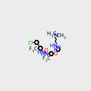 CN(C)CCCCNc1nccc(Oc2ccc(NC(=O)Nc3ccc(-c4cccc(Cl)c4)c(C(F)(F)F)c3)c(C(F)(F)F)c2)n1